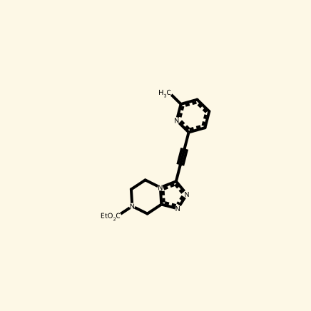 CCOC(=O)N1CCn2c(C#Cc3cccc(C)n3)nnc2C1